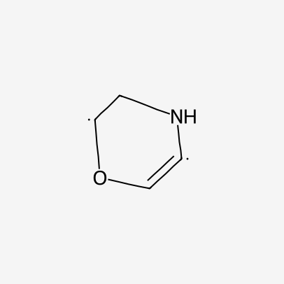 [C]1=CO[CH]CN1